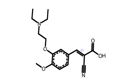 CCN(CC)CCOc1cc(/C=C(\C#N)C(=O)O)ccc1OC